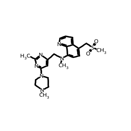 Cc1nc(CN(C)c2ccc(CS(C)(=O)=O)c3cccnc23)cc(N2CCN(C)CC2)n1